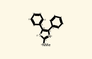 CNc1nc(-c2ccccc2)c(-c2ccccc2)s1